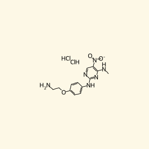 CNc1nc(Nc2ccc(OCCN)cc2)ncc1[N+](=O)[O-].Cl.Cl